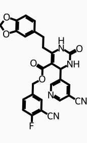 N#Cc1cncc(C2NC(=O)NC(CCc3ccc4c(c3)OCO4)=C2C(=O)OCc2ccc(F)c(C#N)c2)c1